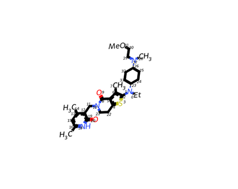 CCN(c1sc2c(c1C)C(=O)N(Cc1c(C)cc(C)[nH]c1=O)CC2)[C@H]1CC[C@@H](N(C)CCOC)CC1